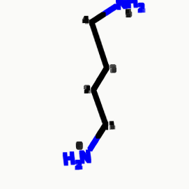 N[CH]CCCN